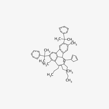 CCCC[C](CCCC)=[Zr]([C]1=CC=CC1)[CH]1c2cc(C)c(C(C)(C)c3ccccc3)cc2-c2cc(C(C)(C)c3ccccc3)c(C)c(CCCC)c21